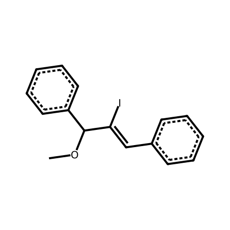 COC(C(I)=Cc1ccccc1)c1ccccc1